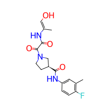 C/C(=C\O)NC(=O)C(=O)N1CC[C@H](C(=O)Nc2ccc(F)c(C)c2)C1